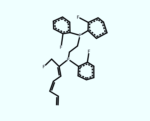 C=C/C=C\C=C(/CF)P(CCP(c1ccccc1F)c1ccccc1F)c1ccccc1F